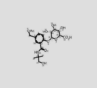 CC(=O)OCc1ccc(O[C@@H]2O[C@H](C(=O)O)[C@@H](O)[C@H](O)[C@H]2O)c(C(=O)NC(C)(C)CO)c1